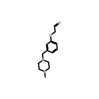 CN1CCN(Cc2cccc(OCC=O)c2)CC1